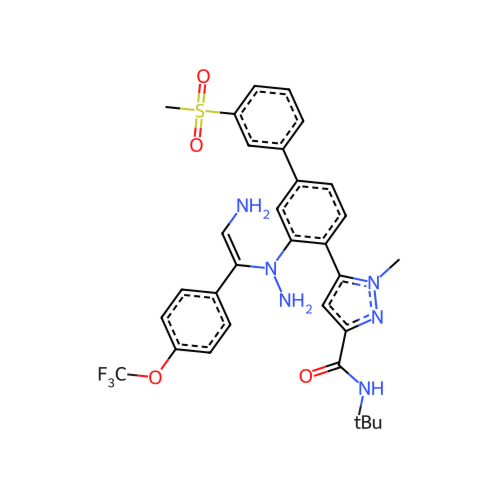 Cn1nc(C(=O)NC(C)(C)C)cc1-c1ccc(-c2cccc(S(C)(=O)=O)c2)cc1N(N)/C(=C\N)c1ccc(OC(F)(F)F)cc1